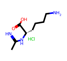 CC(=N)N[C@@H](CCCCN)C(=O)O.Cl